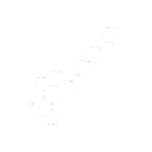 CN(C(=O)c1sccc1Cl)C1CCc2ccc(C(=O)N3CCC4(CC3)CCN(c3ccncc3)CC4)cc21